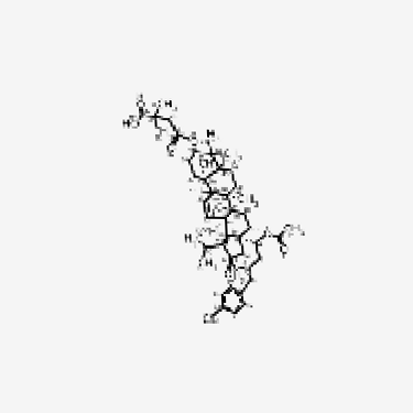 CC(=O)OC(CN(C)Cc1ccc(Cl)cc1)[C@@]12CC[C@]3(C)[C@H](CC[C@@H]4[C@@]5(C)CC[C@H](OC(=O)CC(C)(C)C(=O)O)C(C)(C)[C@@H]5CC[C@]43C)C1=C(C(C)C)C(=O)C2